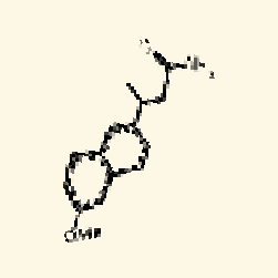 COc1ccc2cc(C(I)CC(N)=O)ccc2c1